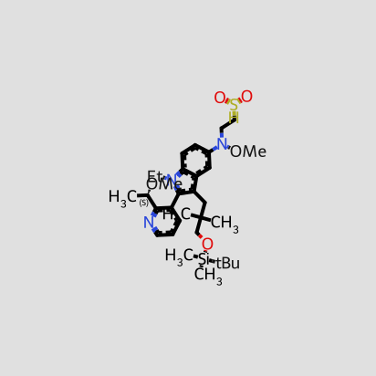 CCn1c(-c2cccnc2[C@H](C)OC)c(CC(C)(C)CO[Si](C)(C)C(C)(C)C)c2cc(N(CC[SH](=O)=O)OC)ccc21